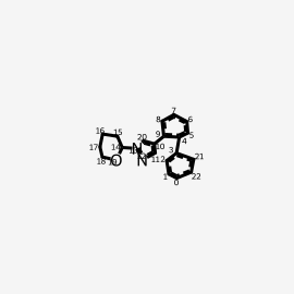 c1ccc(-c2ccccc2-c2cnn(C3CCCCO3)c2)cc1